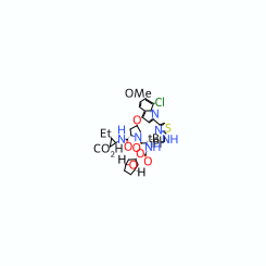 CC[C@@H]1C[C@]1(NC(=O)[C@@H]1C[C@@H](Oc2cc(-c3csc(NC(C)C)n3)nc3c(Cl)c(OC)ccc23)CN1C(=O)[C@@H](NC(=O)O[C@@H]1C[C@H]2CC[C@@H](C1)O2)C(C)(C)C)C(=O)O